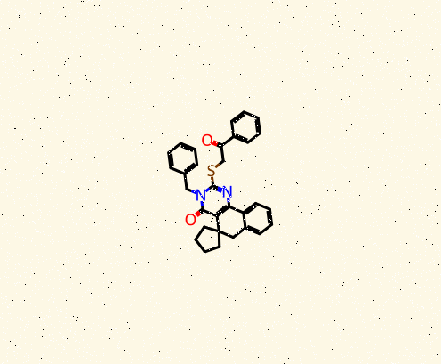 O=C(CSc1nc2c(c(=O)n1Cc1ccccc1)C1(CCCC1)Cc1ccccc1-2)c1ccccc1